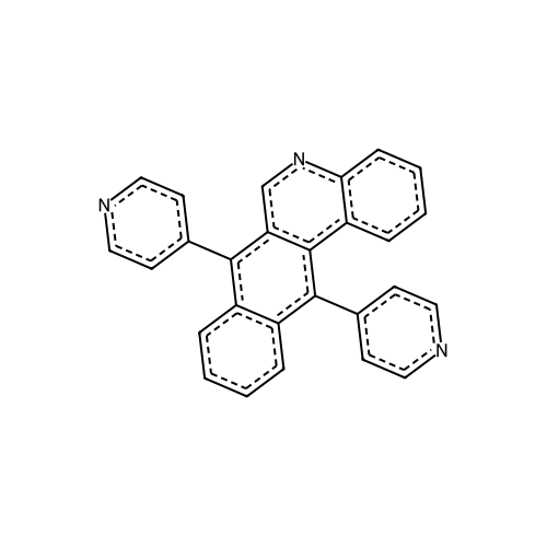 c1ccc2c(c1)ncc1c(-c3ccncc3)c3ccccc3c(-c3ccncc3)c12